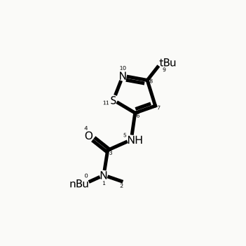 CCCCN(C)C(=O)Nc1cc(C(C)(C)C)ns1